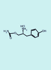 Cl.NC(=O)OC[C@@H](N)Cc1ccc(O)cc1